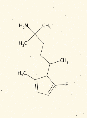 CC1=CC=C(F)C1C(C)CCC(C)(C)N